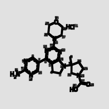 CC1(N2CCc3c(-c4cnc(N)nc4)nc(N4CCOCC4)nc32)CCN(C(=O)O)C1.Cl